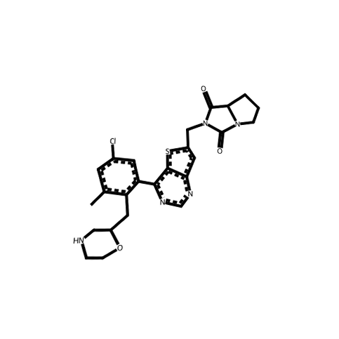 Cc1cc(Cl)cc(-c2ncnc3cc(CN4C(=O)C5CCCN5C4=O)sc23)c1CC1CNCCO1